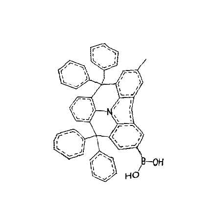 Cc1cc2c3c(c1)c1cc(B(O)O)cc4c1n3-c1c(cccc1C4(c1ccccc1)c1ccccc1)C2(c1ccccc1)c1ccccc1